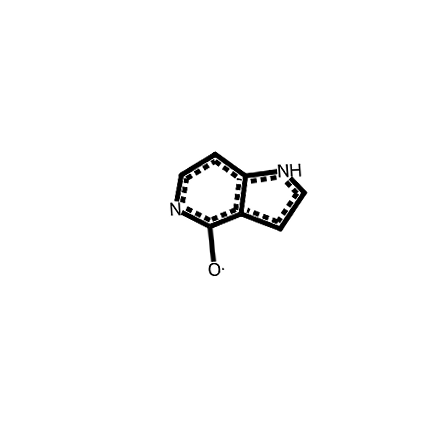 [O]c1nccc2[nH]ccc12